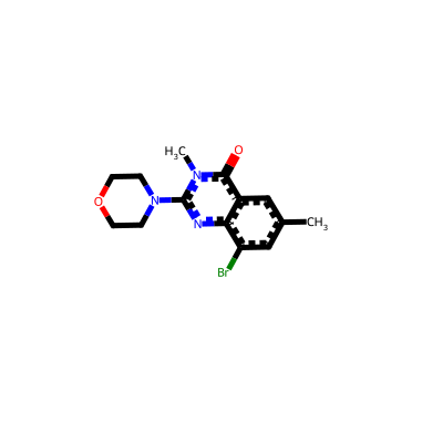 Cc1cc(Br)c2nc(N3CCOCC3)n(C)c(=O)c2c1